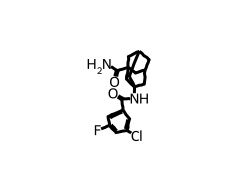 NC(=O)C12CC3CC(CC(NC(=O)c4cc(F)cc(Cl)c4)(C3)C1)C2